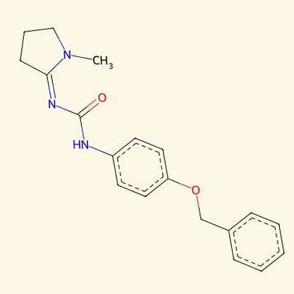 CN1CCC/C1=N/C(=O)Nc1ccc(OCc2ccccc2)cc1